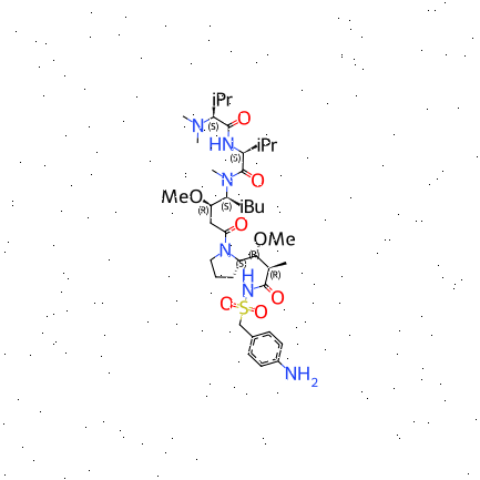 CCC(C)[C@@H]([C@@H](CC(=O)N1CCC[C@H]1[C@H](OC)[C@@H](C)C(=O)NS(=O)(=O)Cc1ccc(N)cc1)OC)N(C)C(=O)[C@@H](NC(=O)[C@H](C(C)C)N(C)C)C(C)C